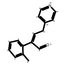 Cc1ccccc1C(C=O)=CCc1ccncc1